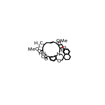 COC[C@H]1C(=O)NS(=O)(=O)c2ccc3c(c2)N(C[C@@H]2CC[C@H]2[C@@H](OC)/C=C/C[C@@H]1C)C[C@@]1(CCCc2ccc(Cl)cc21)CO3